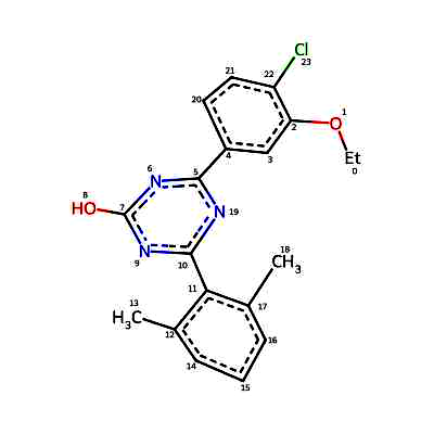 CCOc1cc(-c2nc(O)nc(-c3c(C)cccc3C)n2)ccc1Cl